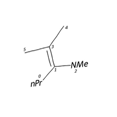 CCCC(NC)=C(C)C